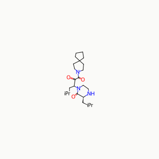 CC(C)CC(C(=O)C(=O)N1CCC2(CCCC2)CC1)N1CCN[C@@H](CC(C)C)C1=O